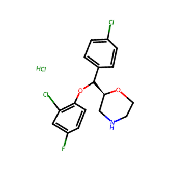 Cl.Fc1ccc(OC(c2ccc(Cl)cc2)[C@@H]2CNCCO2)c(Cl)c1